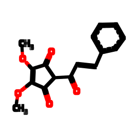 COC1=C(OC)C(=O)C(C(=O)/C=C/c2ccccc2)C1=O